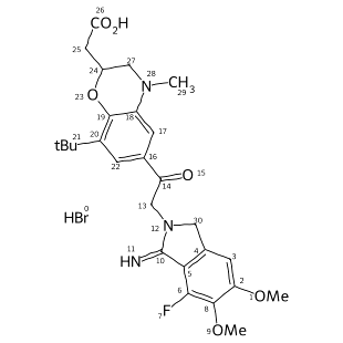 Br.COc1cc2c(c(F)c1OC)C(=N)N(CC(=O)c1cc3c(c(C(C)(C)C)c1)OC(CC(=O)O)CN3C)C2